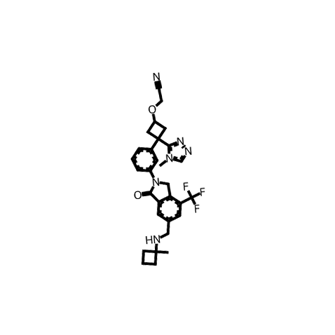 Cn1cnnc1C1(c2cccc(N3Cc4c(cc(CNC5(C)CCC5)cc4C(F)(F)F)C3=O)c2)CC(OCC#N)C1